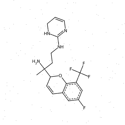 CC(N)(CCNC1=NC=CCN1)C1C=Cc2cc(F)cc(C(F)(F)F)c2O1